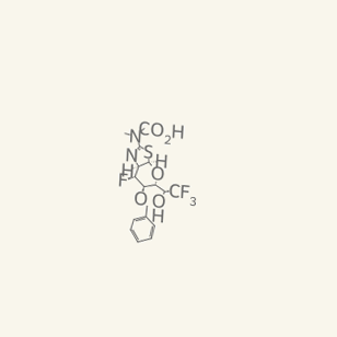 CN(C(=O)O)C1=N[C@@H]2[C@H](F)[C@H](OCc3ccccc3)[C@@H]([C@H](O)C(F)(F)F)O[C@@H]2S1